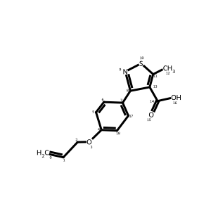 C=CCOc1ccc(-c2nsc(C)c2C(=O)O)cc1